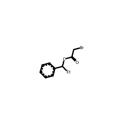 CCC(OC(=O)CBr)c1ccccc1